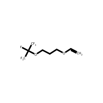 C=COCCCOC(F)(C(F)(F)F)C(F)(F)F